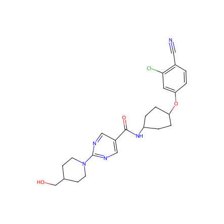 N#Cc1ccc(OC2CCC(NC(=O)c3cnc(N4CCC(CO)CC4)nc3)CC2)cc1Cl